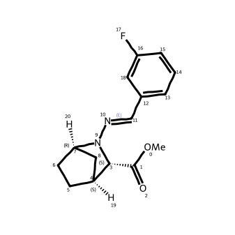 COC(=O)[C@@H]1[C@H]2CC[C@H](C2)N1/N=C/c1cccc(F)c1